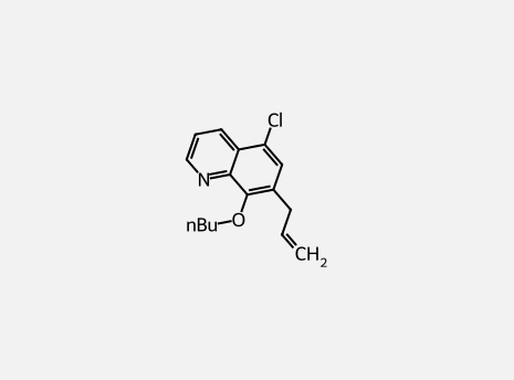 C=CCc1cc(Cl)c2cccnc2c1OCCCC